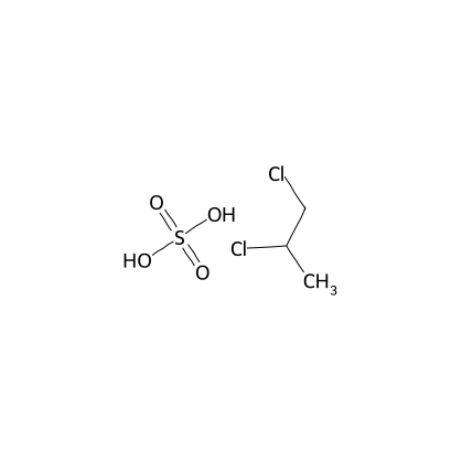 CC(Cl)CCl.O=S(=O)(O)O